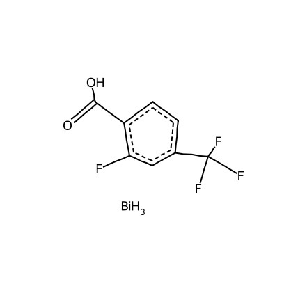 O=C(O)c1ccc(C(F)(F)F)cc1F.[BiH3]